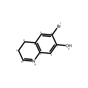 Oc1cc2c(cc1Br)CCC=N2